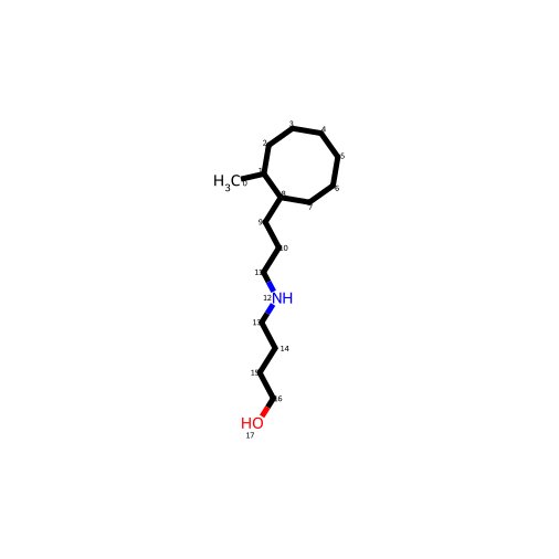 CC1CCCCCCC1CCCNCCCCO